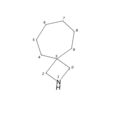 [CH]1NCC12CCCCCC2